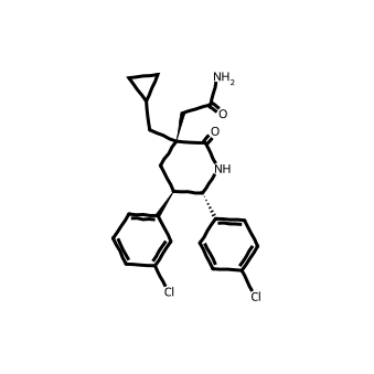 NC(=O)C[C@]1(CC2CC2)C[C@H](c2cccc(Cl)c2)[C@@H](c2ccc(Cl)cc2)NC1=O